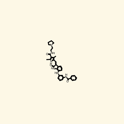 Cc1[nH]c(C=C2C(=O)Nc3c(Nc4cccc(NC(=O)c5ccccc5)c4)cccc32)c(C)c1C(=O)NCCN1CCCC1